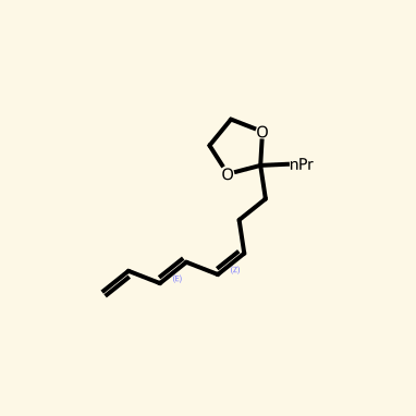 C=C/C=C/C=C\CCC1(CCC)OCCO1